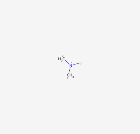 [C]N(C)C